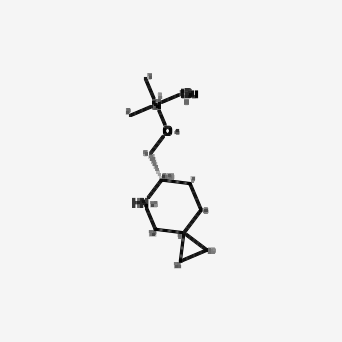 CC(C)(C)[Si](C)(C)OC[C@@H]1CCC2(CC2)CN1